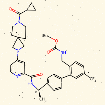 C[C@@H](NC(=O)c1cc(N2CC3(CCN(C(=O)C4CC4)CC3)C2)ccn1)c1ccc(-c2cc(C(F)(F)F)ccc2CNC(=O)OC(C)(C)C)cc1